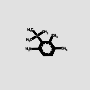 Cc1ccc([SiH3])c([Si](C)(C)C)c1C